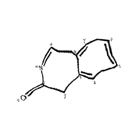 O=C1Cc2cc[c]cc2C=N1